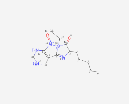 CCCCCC1N=C2C3=C(NCNC3)[N+](=O)[N+]2(CC)C1=O